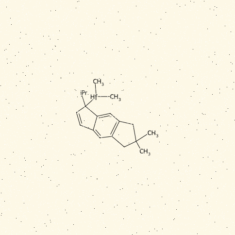 CC(C)[C]1([Hf]([CH3])[CH3])C=Cc2cc3c(cc21)CC(C)(C)C3